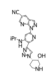 CC(C)Nc1cc(-n2ncc3cc(C#N)cnc32)ncc1-c1cn([C@H]2CCNC[C@H]2O)nn1